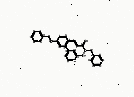 O=C(/C=C/c1ccc(OCc2ccccc2)cc1-c1cccc(F)c1)OCc1ccccc1